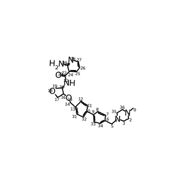 CN1CCN(Cc2ccc(-c3ccc(COC4COCC4NC(=O)c4cccnc4N)cc3)cc2)CC1